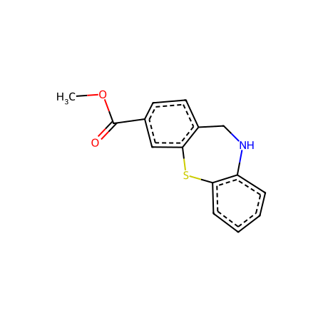 COC(=O)c1ccc2c(c1)Sc1ccccc1NC2